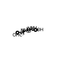 C[C@@H](NC(=O)[C@@H](N)Cc1ccc(O)cc1)C(=O)NCC(=O)[N][C@H](C=O)Cc1ccccc1